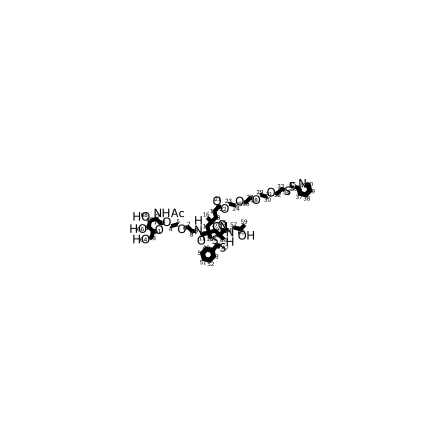 CC(=O)NC1C(OCCOCCNC(=O)C(C)(CC(C)(C#N)CCC(=O)OCCOCCOCCOCCSSc2ccccn2)CC(C)(SC(=S)c2ccccc2)C(=O)NCC(C)O)OC(CO)C(O)C1O